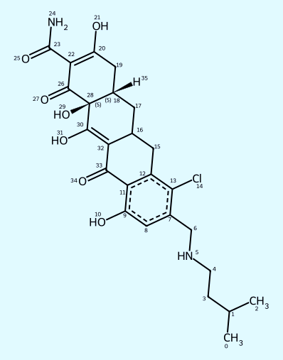 CC(C)CCNCc1cc(O)c2c(c1Cl)CC1C[C@H]3CC(O)=C(C(N)=O)C(=O)[C@@]3(O)C(O)=C1C2=O